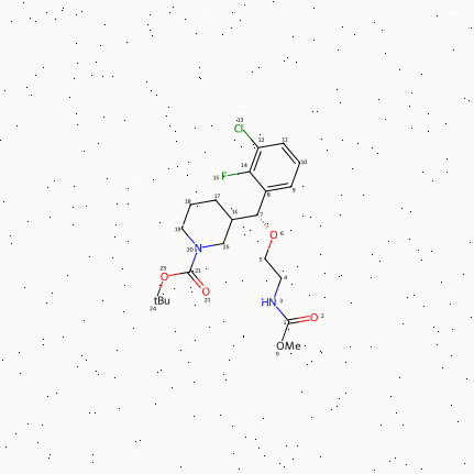 COC(=O)NCCO[C@@H](c1cccc(Cl)c1F)C1CCCN(C(=O)OC(C)(C)C)C1